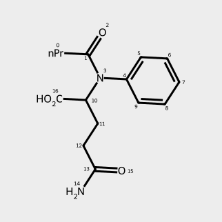 CCCC(=O)N(c1ccccc1)C(CCC(N)=O)C(=O)O